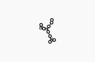 c1ccc2cc(-c3ccc(N(c4ccc(-c5ccc(-n6c7ccccc7c7ccccc76)cc5)cc4)c4ccc5oc6ccccc6c5c4)cc3)ccc2c1